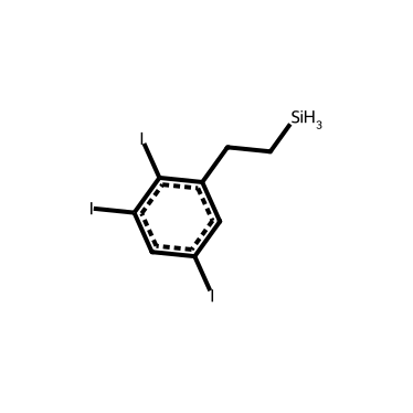 [SiH3]CCc1cc(I)cc(I)c1I